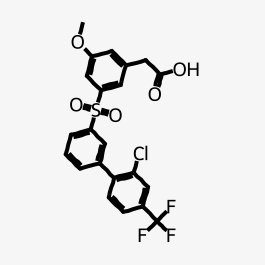 COc1cc(CC(=O)O)cc(S(=O)(=O)c2cccc(-c3ccc(C(F)(F)F)cc3Cl)c2)c1